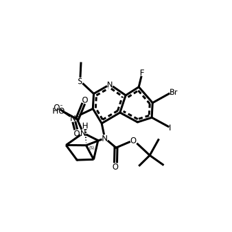 CSc1nc2c(F)c(Br)c(I)cc2c(N(C(=O)OC(C)(C)C)[C@H]2C3CC2N(C(=O)O)C3)c1[N+](=O)[O-]